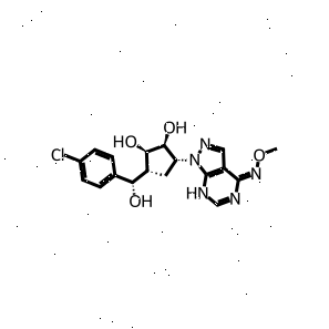 CO/N=c1/nc[nH]c2c1cnn2[C@@H]1C[C@H]([C@H](O)c2ccc(Cl)cc2)[C@@H](O)[C@H]1O